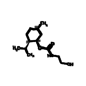 CC(C)[C@@H]1CC[C@@H](C)C[C@H]1OC(=O)NCCO